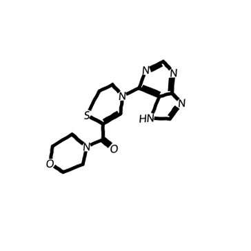 O=C(C1=CN(c2ncnc3nc[nH]c23)CCS1)N1CCOCC1